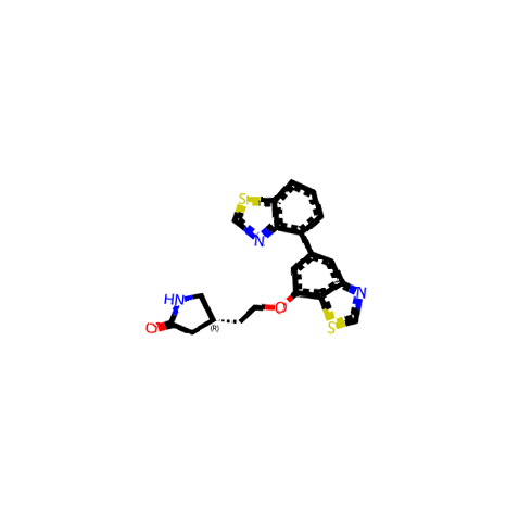 O=C1C[C@@H](CCOc2cc(-c3cccc4scnc34)cc3ncsc23)CN1